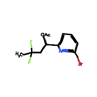 CC(=O)OC(CC(C)(F)F)c1cccc(Br)n1